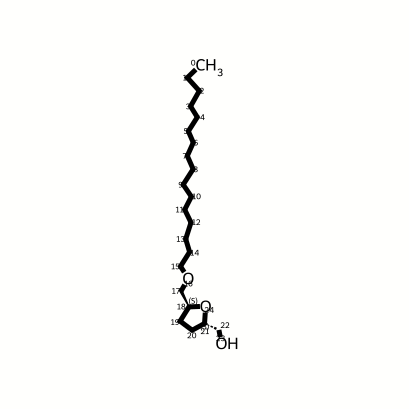 CCCCCCCCCCCCCCCCOC[C@@H]1CC[C@@H](CO)O1